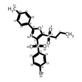 CCCS(=O)(=O)c1oc(-c2ccc(C)cc2)nc1S(=O)(=O)c1ccc(Br)cc1